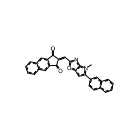 Cn1c(-c2ccc3ccccc3c2)cc2oc(C=C3C(=O)c4cc5ccccc5cc4C3=O)nc21